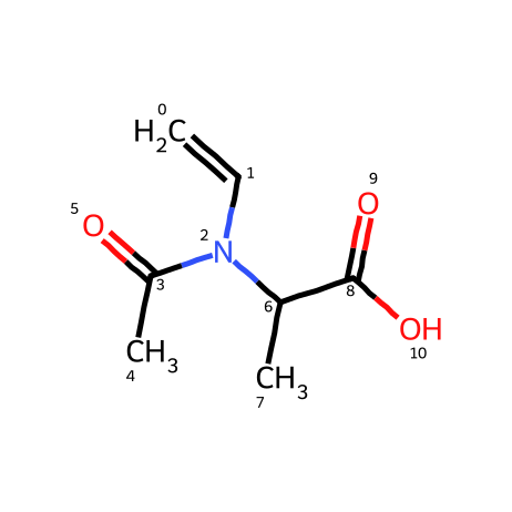 C=CN(C(C)=O)C(C)C(=O)O